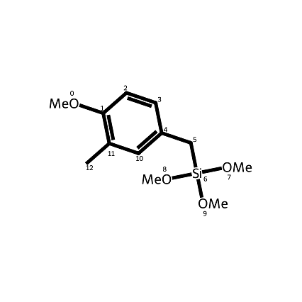 COc1ccc(C[Si](OC)(OC)OC)cc1C